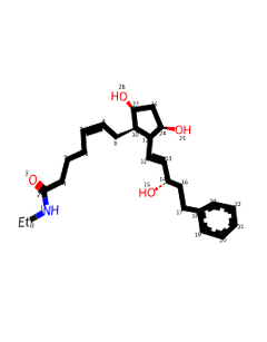 CCNC(=O)CCC/C=C\C[C@@H]1C(/C=C/[C@@H](O)CCc2ccccc2)[C@H](O)C[C@@H]1O